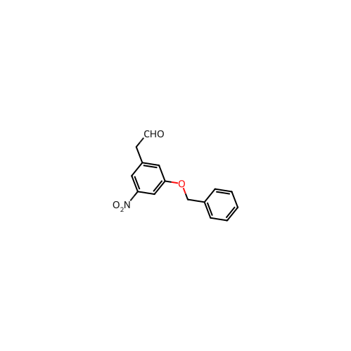 O=CCc1cc(OCc2ccccc2)cc([N+](=O)[O-])c1